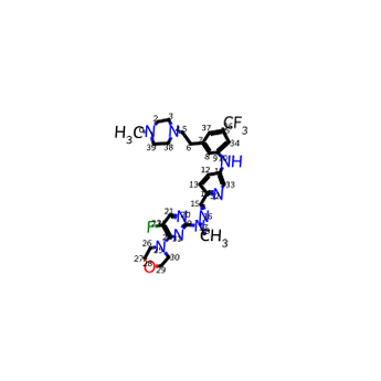 CN1CCN(CCc2cc(Nc3ccc(/C=N/N(C)c4ncc(F)c(N5CCOCC5)n4)nc3)cc(C(F)(F)F)c2)CC1